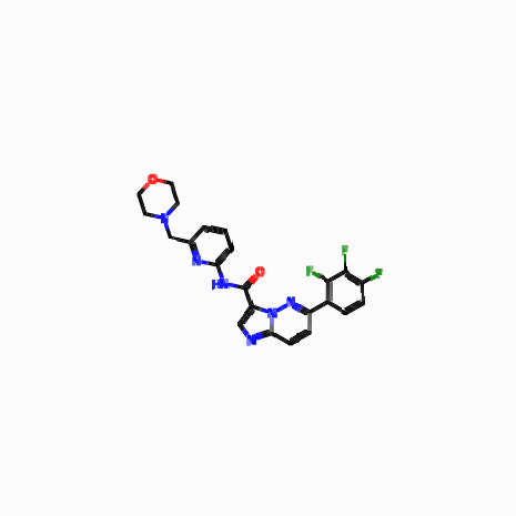 O=C(Nc1cccc(CN2CCOCC2)n1)c1cnc2ccc(-c3ccc(F)c(F)c3F)nn12